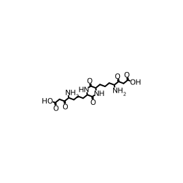 NC(CCCC1NC(=O)C(CCCC(N)C(=O)CC(=O)O)NC1=O)C(=O)CC(=O)O